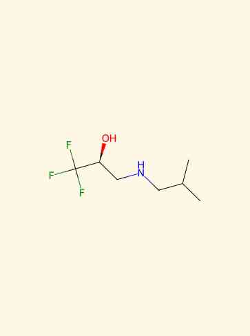 CC(C)CNC[C@H](O)C(F)(F)F